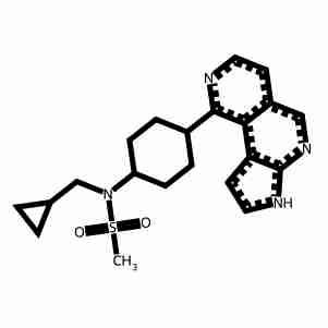 CS(=O)(=O)N(CC1CC1)C1CCC(c2nccc3cnc4[nH]ccc4c23)CC1